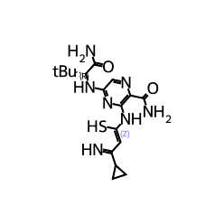 CC(C)(C)[C@@H](Nc1cnc(C(N)=O)c(N/C(S)=C/C(=N)C2CC2)n1)C(N)=O